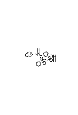 O=S(=O)(c1ccccc1)C1CS(O)(O)c2cccc(CNCCN3CCOCC3)c21